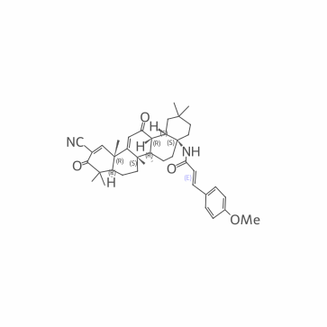 COc1ccc(/C=C/C(=O)N[C@]23CCC(C)(C)C[C@H]2[C@H]2C(=O)C=C4[C@@]5(C)C=C(C#N)C(=O)C(C)(C)[C@@H]5CC[C@@]4(C)[C@]2(C)CC3)cc1